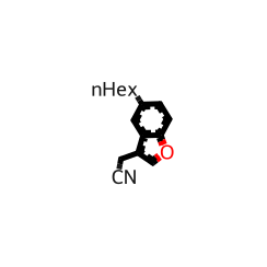 CCCCCCc1ccc2occ(CC#N)c2c1